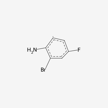 Nc1[c]cc(F)cc1Br